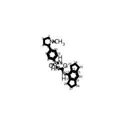 CN1CCCC1c1ccc(S(=N)(=O)NC(=O)Nc2c3c(cc4c2CCC4)CCC3)cc1